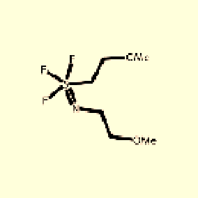 COCCN=S(F)(F)(F)CCOC